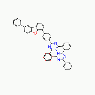 c1ccc(-c2ccc3oc4c(-c5ccc(-c6nc(-c7ccccc7)nc(-c7ccccc7-c7nc(-c8ccccc8)nc(-c8ccccc8)n7)n6)cc5)cccc4c3c2)cc1